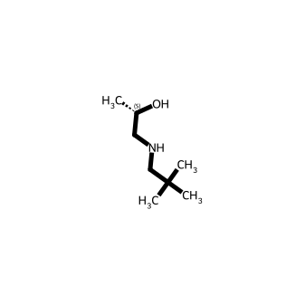 C[C@H](O)CNCC(C)(C)C